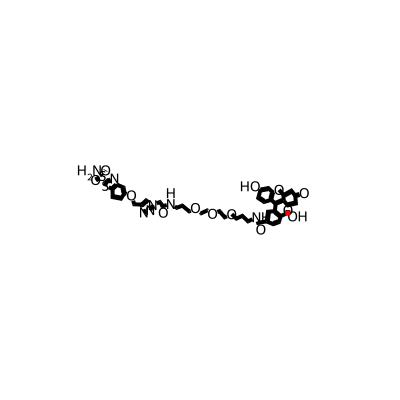 NS(=O)(=O)c1nc2cc(OCc3cn(CC(=O)NCCCOCCOCCOCCCNC(=O)c4ccc(C(=O)O)c(-c5c6ccc(=O)cc-6oc6cc(O)ccc56)c4)nn3)ccc2s1